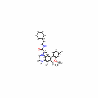 Cc1ccc(-c2c([C@H](OC(C)(C)C)C(=O)O)c(C)c3c4c2cc(C(=O)NCCC2CCCCC2)n4CCN3C)cc1